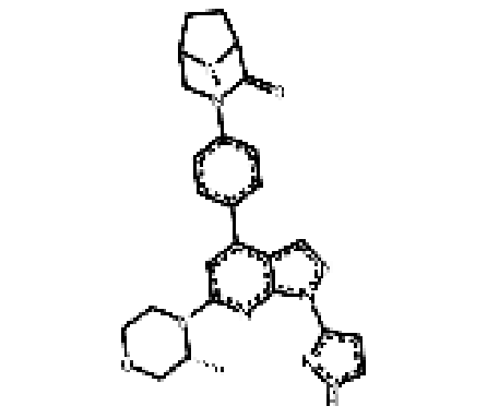 C[C@@H]1COCCN1c1cc(-c2ccc(N3CC4CCC(C3=O)N4C)cc2)c2cnn(-c3cc[nH]n3)c2n1